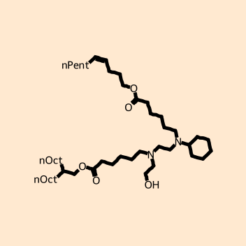 CCCCC/C=C\CCCOC(=O)CCCCCN(CCN(CCO)CCCCCC(=O)OCC(CCCCCCCC)CCCCCCCC)C1CCCCC1